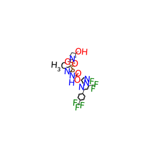 Cc1nc(NC(=O)Oc2cnn3c(C(F)(F)F)cc(-c4ccc(C(F)(F)F)cc4)nc23)sc1S(=O)(=O)N1CCC(O)C1